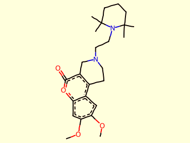 COc1cc2oc(=O)c3c(c2cc1OC)CCN(CCN1C(C)(C)CCCC1(C)C)C3